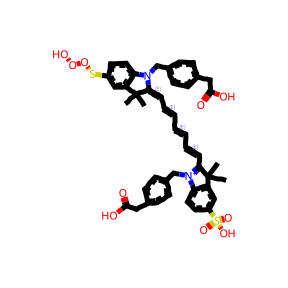 CC1(C)C(/C=C/C=C/C=C/C=C2/N(Cc3ccc(CC(=O)O)cc3)c3ccc(SOOO)cc3C2(C)C)=[N+](Cc2ccc(CC(=O)O)cc2)c2ccc(S(=O)(=O)O)cc21